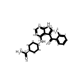 Cc1ccccc1C(=O)c1c[nH]c2ncnc(N[C@H]3CC[C@H](C(N)=O)CC3)c12